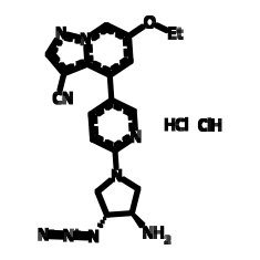 CCOc1cc(-c2ccc(N3C[C@@H](N)[C@H](N=[N+]=[N-])C3)nc2)c2c(C#N)cnn2c1.Cl.Cl